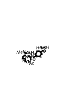 CNC(=O)[C@@H]1CC[C@@H]2CCN(C(C)=O)CC(NC(=O)C3CCCC(C(=O)P(O)O)CCC3)C(=O)N21